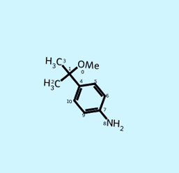 COC(C)(C)c1ccc(N)cc1